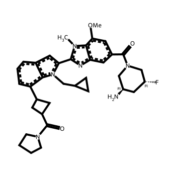 COc1cc(C(=O)N2C[C@H](N)C[C@@H](F)C2)cc2nc(-c3cc4cccc(C5CC(C(=O)N6CCCC6)C5)c4n3CC3CC3)n(C)c12